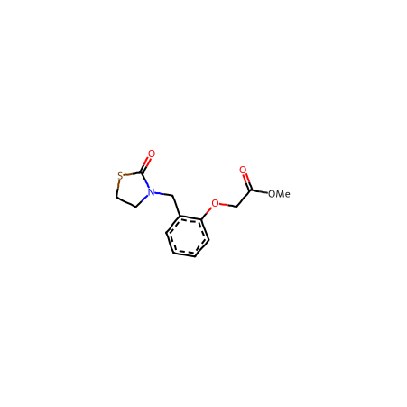 COC(=O)COc1ccccc1CN1CCSC1=O